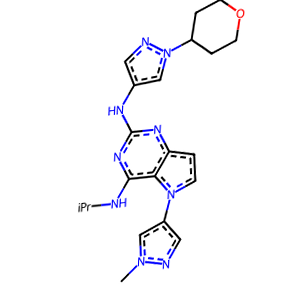 CC(C)Nc1nc(Nc2cnn(C3CCOCC3)c2)nc2ccn(-c3cnn(C)c3)c12